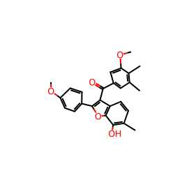 COc1ccc(-c2oc3c(O)c(C)ccc3c2C(=O)c2cc(C)c(C)c(OC)c2)cc1